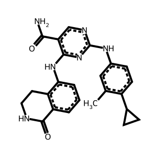 Cc1cc(Nc2ncc(C(N)=O)c(Nc3cccc4c3CCNC4=O)n2)ccc1C1CC1